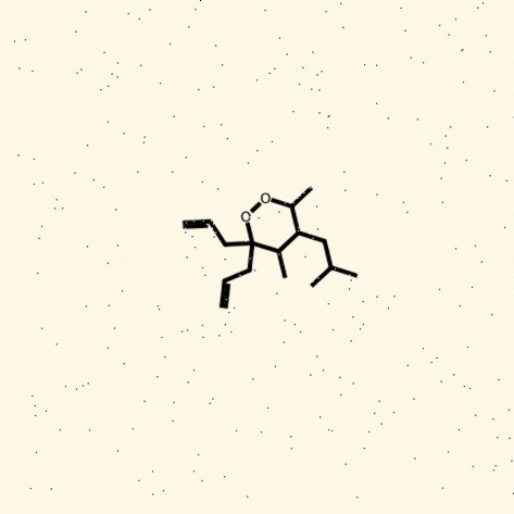 C=CCC1(CC=C)OOC(C)C(CC(C)C)C1C